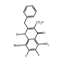 CCn1c(Cc2ccccc2)c(C(=O)O)c(=O)c2c([N+](=O)[O-])c(F)c(F)c(OC)c21